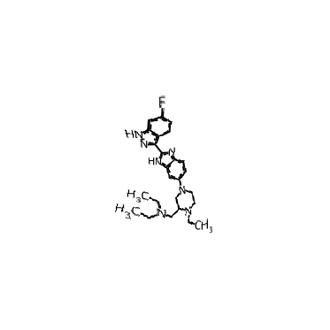 CCN(CC)CC1CN(c2ccc3nc(-c4n[nH]c5cc(F)ccc45)[nH]c3c2)CCN1CC